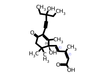 CCC(O)(C#CC1=C(C)[C@](O)(/C=C/C(C)=C\C(=O)O)C(C)(C)CC1=O)CC